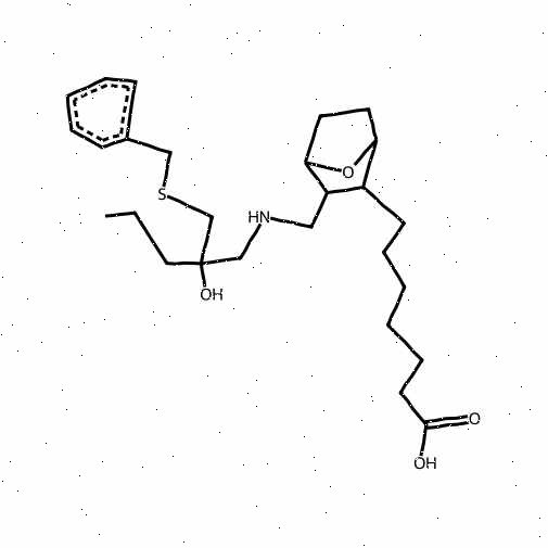 CCCC(O)(CNCC1C2CCC(O2)C1CCCCCCC(=O)O)CSCc1ccccc1